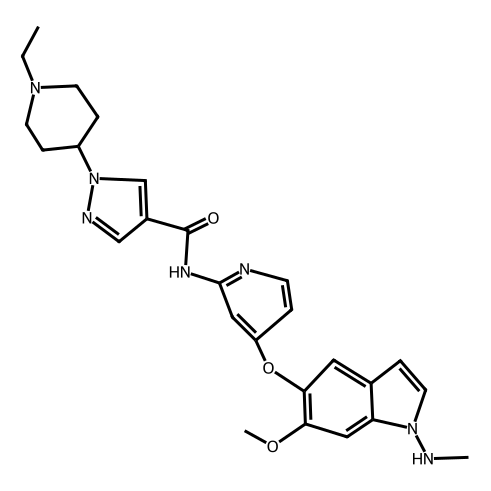 CCN1CCC(n2cc(C(=O)Nc3cc(Oc4cc5ccn(NC)c5cc4OC)ccn3)cn2)CC1